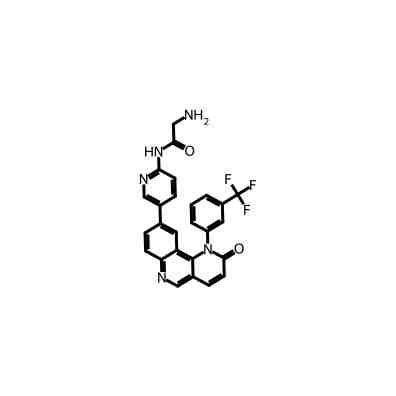 NCC(=O)Nc1ccc(-c2ccc3ncc4ccc(=O)n(-c5cccc(C(F)(F)F)c5)c4c3c2)cn1